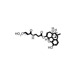 CN1CC[C@]23c4c5ccc(O)c4O[C@H]2C(OC(=O)CCNC(=O)/C=C/C(=O)O)=CC[C@@]3(O)[C@H]1C5